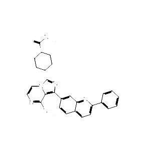 Nc1nccn2c1c(-c1ccc3ccc(-c4ccccc4)nc3c1)nc2[C@H]1CC[C@H](C(N)=O)CC1